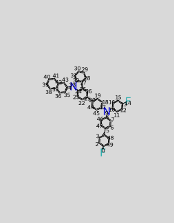 Fc1ccc(-c2ccc(N(c3ccc(F)cc3)c3ccc(-c4ccc5c(c4)c4ccccc4n5-c4ccc5ccccc5c4)cc3)cc2)cc1